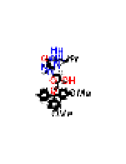 COc1ccc(C(OC[C@H]2O[C@@H](n3cnc4c(=O)[nH]c(NCC(C)C)nc43)C[C@@H]2O)(c2ccccc2)c2ccc(OC)cc2)cc1